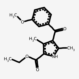 CCOC(=O)c1[nH]c(C)c(C(=O)c2cccc(OC)c2)c1C